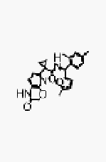 Cc1ccc(C(NC(=O)C2(c3ccc4c(n3)OCC(=O)N4)CC2)c2ccc(C)o2)c(C)c1